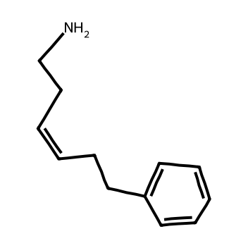 NCC/C=C\CCc1ccccc1